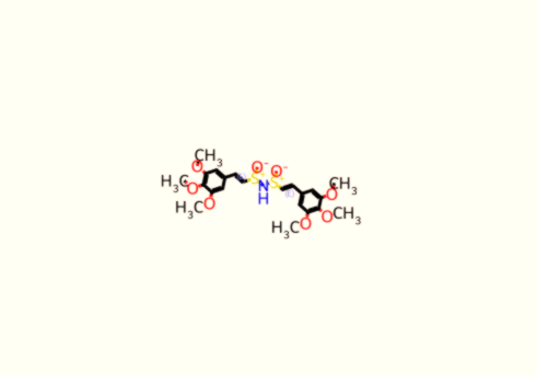 COc1cc(/C=C/[S+]([O-])N[S+]([O-])/C=C/c2cc(OC)c(OC)c(OC)c2)cc(OC)c1OC